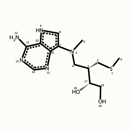 CSC[C@@H](CN(C)c1c[nH]c2c(N)ncnc12)[C@@H](O)CO